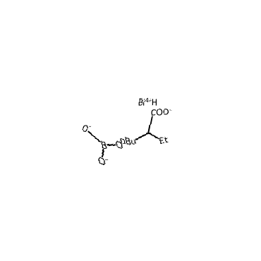 CCCCC(CC)C(=O)[O-].[BiH+4].[O-]B([O-])[O-]